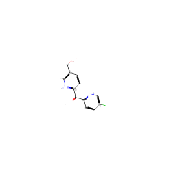 O=C(c1ccc(Cl)cn1)c1ccc(CO)cn1